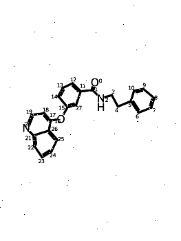 O=C(NCCc1ccccc1)c1cccc(Oc2ccnc3ccccc23)c1